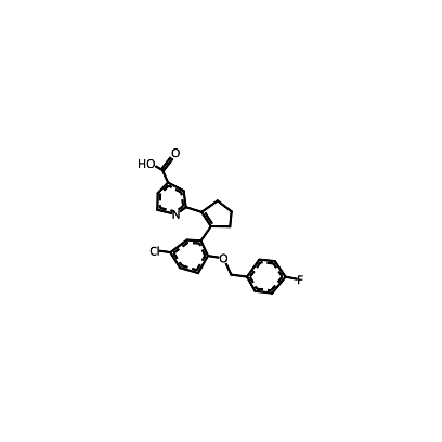 O=C(O)c1ccnc(C2=C(c3cc(Cl)ccc3OCc3ccc(F)cc3)CCC2)c1